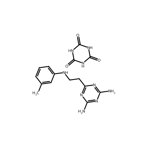 Cc1cccc(NCCc2nc(N)nc(N)n2)c1.O=c1[nH]c(=O)[nH]c(=O)[nH]1